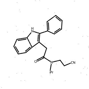 CC(C)N(CCC#N)C(=O)Cc1c(-c2ccccc2)[nH]c2ccccc12